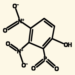 O=[N+]([O-])c1ccc(O)c(P(=O)=O)c1[N+](=O)[O-]